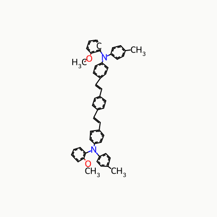 COc1ccccc1N(c1ccc(C)cc1)c1ccc(/C=C/c2ccc(/C=C/c3ccc(N(c4ccc(C)cc4)c4ccccc4OC)cc3)cc2)cc1